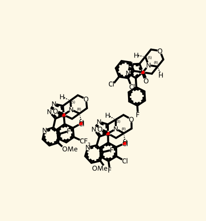 COc1ccnc(-c2nnc3n2C[C@@H]2COC[C@H]3N2C(=O)c2ccc(F)c(Cl)c2Cl)c1F.COc1ccnc(-c2nnc3n2C[C@@H]2COC[C@H]3N2C(=O)c2cccc(C(F)(F)F)c2Cl)c1F.O=C(c1cccc(Cl)c1Cl)N1[C@H]2COC[C@@H]1c1nnc(-c3ccc(F)cc3)n1C2